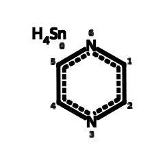 [SnH4].c1cnccn1